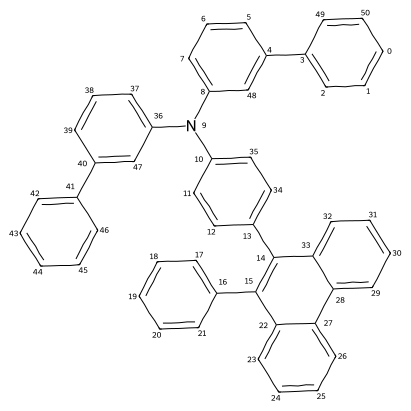 c1ccc(-c2cccc(N(c3ccc(-c4c(-c5ccccc5)c5ccccc5c5ccccc45)cc3)c3cccc(-c4ccccc4)c3)c2)cc1